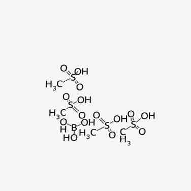 CS(=O)(=O)O.CS(=O)(=O)O.CS(=O)(=O)O.CS(=O)(=O)O.OB(O)O